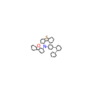 c1ccc(-c2ccccc2-c2ccc(N(c3cccc4c3oc3ccccc34)c3cccc4sc5ccccc5c34)cc2)cc1